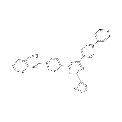 c1ccc(-c2ccc(-c3cc(-c4ccc(-c5ccc6ccccc6c5)cc4)nc(-c4ccco4)n3)cc2)cc1